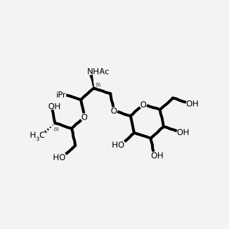 CC(=O)N[C@@H](COC1OC(CO)C(O)C(O)C1O)C(OC(CO)[C@H](C)O)C(C)C